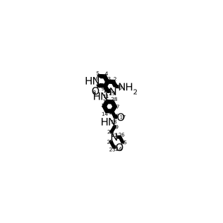 Nc1cc2cc[nH]c(=O)c2c(Nc2ccc(C(=O)NCCN3CCOCC3)cc2)n1